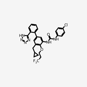 O=C(Nc1ccc(Cl)cc1)Nc1cc(-c2ccccc2-c2nnn[nH]2)cc(CC2CC2)c1OCCC(F)(F)F